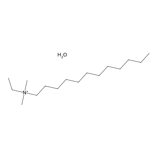 CCCCCCCCCCCC[N+](C)(C)CC.O